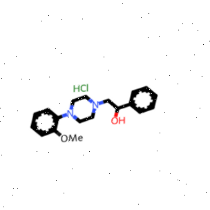 COc1ccccc1N1CCN(CC(O)c2ccccc2)CC1.Cl